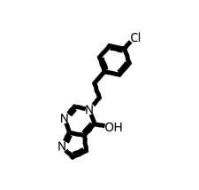 Oc1c2ccnc-2ncn1CCc1ccc(Cl)cc1